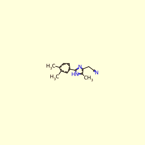 Cc1ccc(-c2nc(CC#N)c(C)[nH]2)cc1C